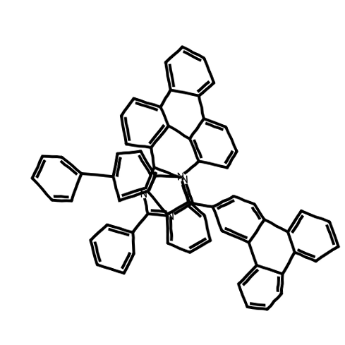 c1ccc(-c2ccc3c(c2)c2ccccc2n3-c2cccc3c4ccccc4c4cccc(-c5nc(-c6ccccc6)nc(-c6ccc7c8ccccc8c8ccccc8c7c6)n5)c4c23)cc1